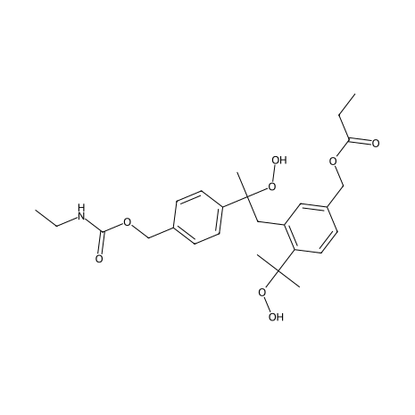 CCNC(=O)OCc1ccc(C(C)(Cc2cc(COC(=O)CC)ccc2C(C)(C)OO)OO)cc1